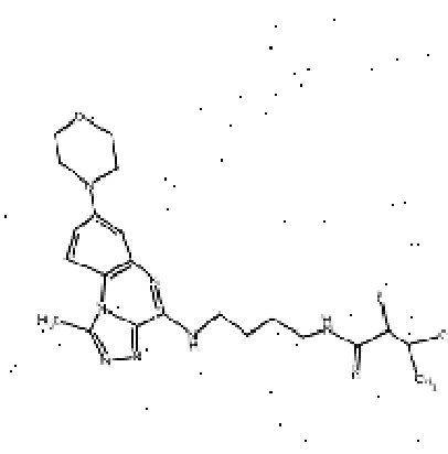 Cc1nnc2c(NCCCCNC(=O)C(F)C(C)C)nc3cc(N4CCOCC4)ccc3n12